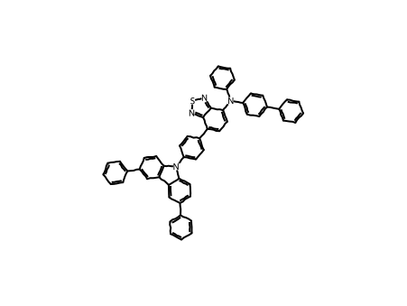 c1ccc(-c2ccc(N(c3ccccc3)c3ccc(-c4ccc(-n5c6ccc(-c7ccccc7)cc6c6cc(-c7ccccc7)ccc65)cc4)c4nsnc34)cc2)cc1